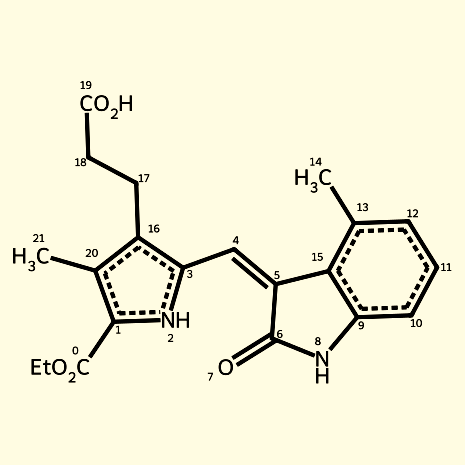 CCOC(=O)c1[nH]c(/C=C2\C(=O)Nc3cccc(C)c32)c(CCC(=O)O)c1C